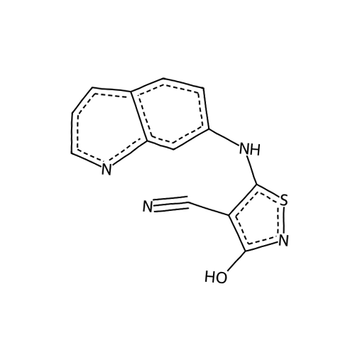 N#Cc1c(O)nsc1Nc1ccc2cccnc2c1